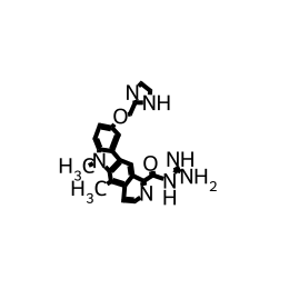 Cc1c2ccnc(C(=O)NC(=N)N)c2cc2c3cc(OCC4=NCCN4)ccc3n(C)c12